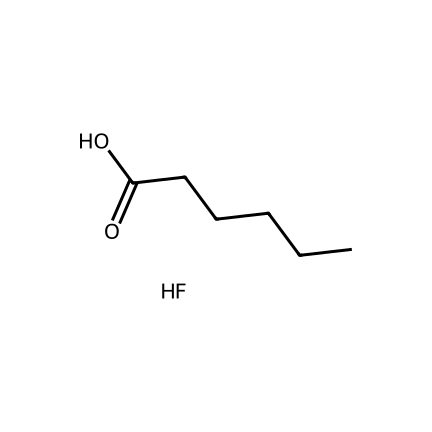 CCCCCC(=O)O.F